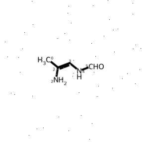 CC(N)=CNC=O